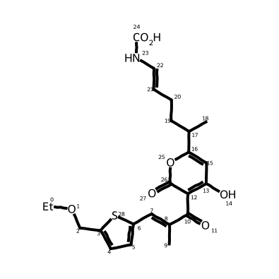 CCOCc1ccc(C=C(C)C(=O)c2c(O)cc(C(C)CCC=CNC(=O)O)oc2=O)s1